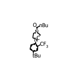 CCCCC(=O)N1CCN(c2ccc(C(C)(C)C)cc2C(F)(F)F)CC1